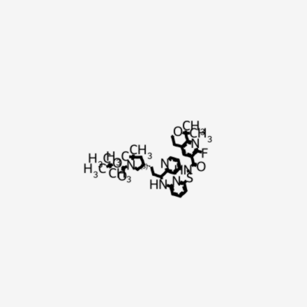 CC(C)(C)OC(=O)N1C[C@@H](CCC(Nc2cccc(SNC(=O)c3cc4c(nc3F)C(C)(C)OCC4)n2)c2ccccn2)CC1(C)C